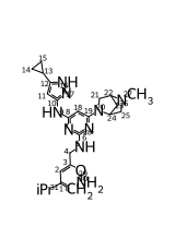 C=C(/C=C(/CNc1nc(Nc2cc(C3CC3)[nH]n2)cc(N2CC3CC2CN3C)n1)ON)C(C)C